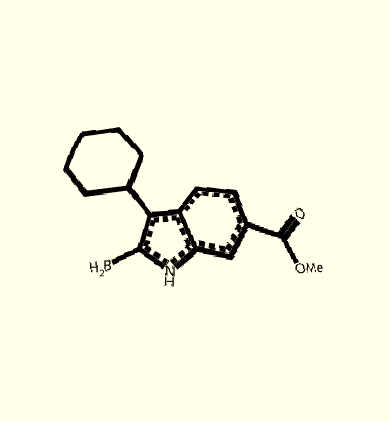 Bc1[nH]c2cc(C(=O)OC)ccc2c1C1CCCCC1